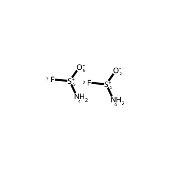 N[S+]([O-])F.N[S+]([O-])F